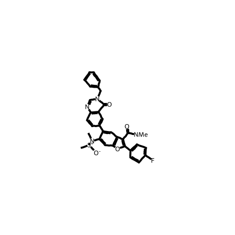 CNC(=O)c1c(-c2ccc(F)cc2)oc2cc(N(C)[S+](C)[O-])c(-c3ccc4ncn(Cc5ccccc5)c(=O)c4c3)cc12